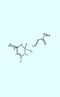 C=CC(=O)OC.CC1=CC(=O)CC(C)(C)C1